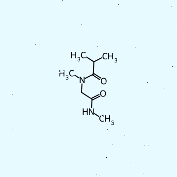 CNC(=O)CN(C)C(=O)C(C)C